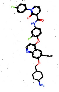 COc1cc2c(Oc3ccc(NC(=O)c4cccn(-c5ccc(F)cc5)c4=O)cc3F)ccnc2cc1OCC1CCC(N)CC1